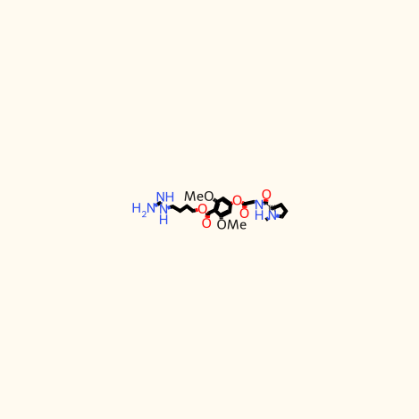 COc1cc(OC(=O)CNC(=O)[C@@H]2CCCN2C)cc(OC)c1C(=O)OCCCCNC(=N)N